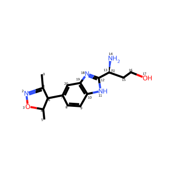 CC1=NOC(C)C1c1ccc2[nH]c([C@@H](N)CCO)nc2c1